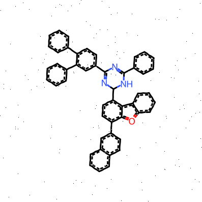 c1ccc(C2=NC(c3ccc(-c4ccccc4)c(-c4ccccc4)c3)=NC(c3ccc(-c4ccc5ccccc5c4)c4oc5ccccc5c34)N2)cc1